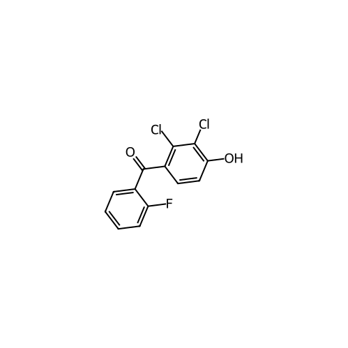 O=C(c1ccccc1F)c1ccc(O)c(Cl)c1Cl